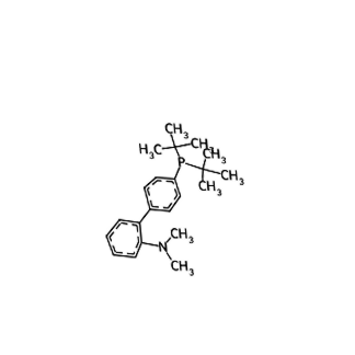 CN(C)c1ccccc1-c1ccc(P(C(C)(C)C)C(C)(C)C)cc1